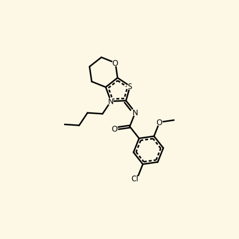 CCCCn1c2c(sc1=NC(=O)c1cc(Cl)ccc1OC)OCCC2